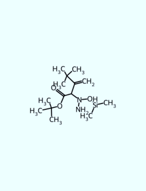 C=C(C(C(=O)OC(C)(C)C)N(N)O[SiH](C)C)C(C)(C)C